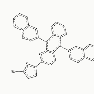 Brc1ccc(-c2ccc3c(-c4ccc5ccccc5c4)c4ccccc4c(-c4ccc5ccccc5c4)c3c2)s1